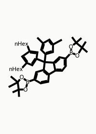 CCCCCCc1cc(CCCCCC)cc(C2(c3cc(C)cc(C)c3)c3cc(B4OC(C)(C)C(C)(C)O4)ccc3-c3ccc(B4OC(C)(C)C(C)(C)O4)cc32)c1